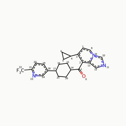 O=C(c1c(C2CC2)ccn2cncc12)C1CCC(c2ccc(C(F)(F)F)nc2)CC1